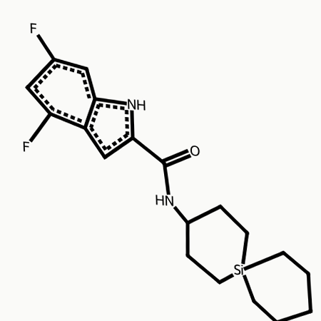 O=C(NC1CC[Si]2(CCCCC2)CC1)c1cc2c(F)cc(F)cc2[nH]1